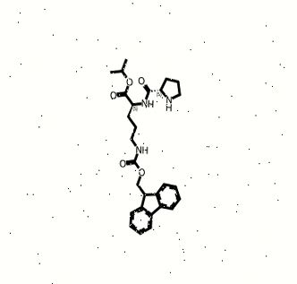 CC(C)OC(=O)[C@H](CCCNC(=O)OCC1c2ccccc2-c2ccccc21)NC(=O)[C@@H]1CCCN1